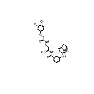 C=C(CCNC(=O)COc1ccc(Cl)c(F)c1)NC(=O)c1cccc(N/C2=C/C=C\C/C(N)=C/C2)c1